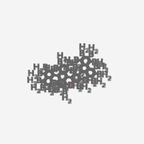 Bc1c(-c2c3c(B)c(B)c(B)c(B)c3c(-c3c(B)c(B)c(B)c4c(B)c(B)c(B)c(B)c34)c3c(B)c(B)c(B)c(B)c23)cc(-c2c(B)c3c(B)c(B)c(B)c(B)c3c3c(B)c(B)c(B)c(B)c23)c(B)c1B